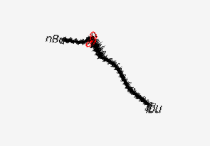 CCCCC=CCCCCCCCC(=O)OCCCCCCCCCCCCCCCCCCCCCCCCCCCCCCCCCCCC(C)CC